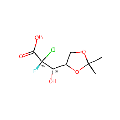 CC1(C)OCC([C@H](O)[C@@](F)(Cl)C(=O)O)O1